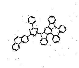 c1ccc(-c2nc(-c3ccc4c(ccc5ccccc54)c3)nc(-n3c4ccccc4c4c5c6c(cc43)c3ccccc3n6-c3ccccc3-c3ccccc3-5)n2)cc1